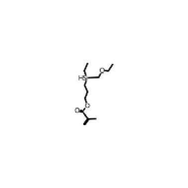 C=C(C)C(=O)OCCC[SiH](CC)COCC